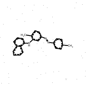 Cc1ccc(N=Nc2ccc(C)c(Nc3cccc4ccccc34)c2)cc1